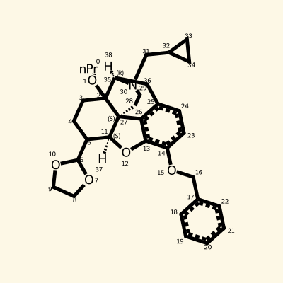 CCCOC12CCC(C3OCCO3)[C@@H]3Oc4c(OCc5ccccc5)ccc5c4[C@@]31CCN(CC1CC1)[C@@H]2C5